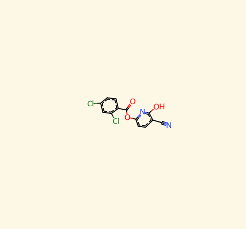 N#Cc1ccc(OC(=O)c2ccc(Cl)cc2Cl)nc1O